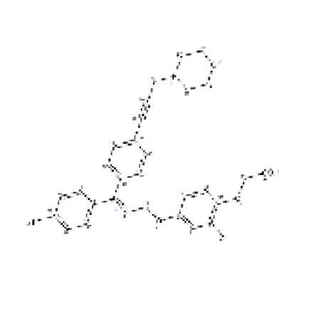 Cc1cc(OC/C=C(/c2ccc(F)cc2)c2ccc(C#CCN3CCOCC3)cc2)ccc1OCC(=O)O